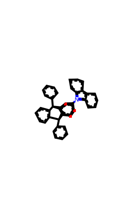 c1ccc(C23c4ccccc4C(c4ccccc4)(c4ccccc42)c2cc(-n4c5ccccc5c5ccccc54)ccc23)cc1